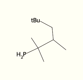 CC(CC(C)(C)C)C(C)(C)P